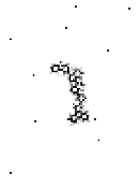 c1cc(-c2cnc3c4ccccc4c4ccccc4c3n2)cc(-c2cccc3c(-c4ccc(-c5ccc6sc7ccccc7c6c5)c5ccccc45)cccc23)c1